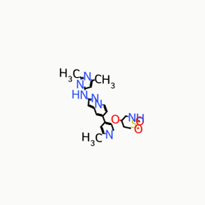 Cc1cc(-c2ccn3nc(Nc4cc(C)nc(C)n4)cc3c2)c(OC2CCS(=O)(=O)NC2)cn1